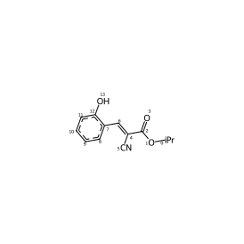 CC(C)OC(=O)/C(C#N)=C/c1ccccc1O